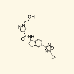 O=C(N[C@@H]1CCc2cc(-c3noc(C4CC4)n3)ccc21)c1cnn(CCO)c1